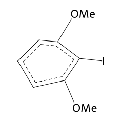 COc1cccc(OC)c1I